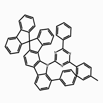 Cc1ccc(-c2nc(-c3ccccc3)nc(-n3c4c(-c5ccccc5)cccc4c4ccc5c(c43)-c3ccccc3C53c4ccccc4-c4ccccc43)n2)cc1